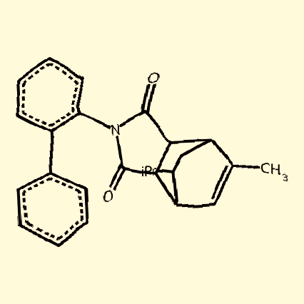 CC1=CC2C(C(C)C)CC1C1C(=O)N(c3ccccc3-c3ccccc3)C(=O)C21